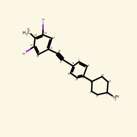 CCCC1CCC(c2ccc(C#Cc3cc(I)c(C)c(I)c3)cc2)CC1